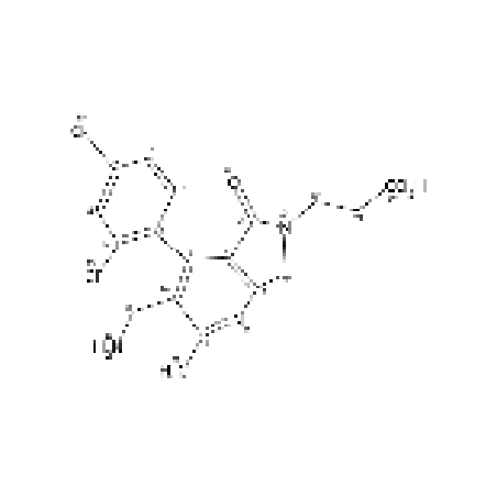 Cc1nc2c(c(-c3ccc(Cl)cc3Cl)c1CN)C(=O)N(CCC(=O)O)C2